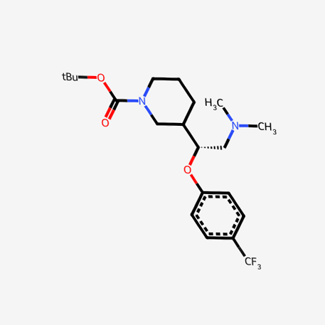 CN(C)C[C@H](Oc1ccc(C(F)(F)F)cc1)C1CCCN(C(=O)OC(C)(C)C)C1